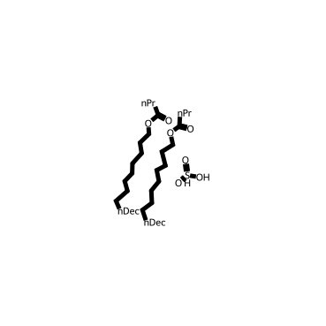 CCCCCCCCCCCCCCCCCCOC(=O)CCC.CCCCCCCCCCCCCCCCCCOC(=O)CCC.O=[SH](=O)O